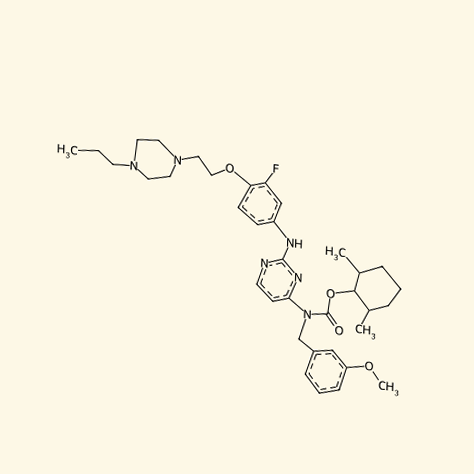 CCCN1CCN(CCOc2ccc(Nc3nccc(N(Cc4cccc(OC)c4)C(=O)OC4C(C)CCCC4C)n3)cc2F)CC1